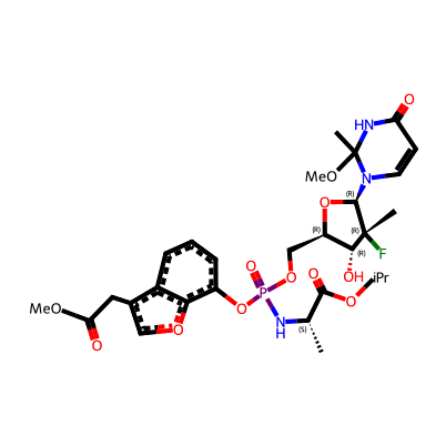 COC(=O)Cc1coc2c(OP(=O)(N[C@@H](C)C(=O)OC(C)C)OC[C@H]3O[C@@H](N4C=CC(=O)NC4(C)OC)[C@](C)(F)[C@@H]3O)cccc12